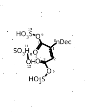 CCCCCCCCCC/C(=C/C(=O)OS(=O)(=O)O)C(=O)OS(=O)(=O)O.O=S(=O)(O)O